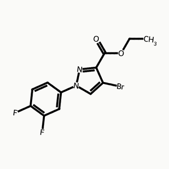 CCOC(=O)c1nn(-c2ccc(F)c(F)c2)cc1Br